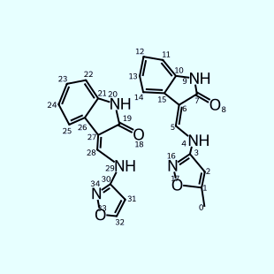 Cc1cc(NC=C2C(=O)Nc3ccccc32)no1.O=C1Nc2ccccc2C1=CNc1ccon1